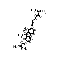 C=C(C)C(=O)OCCC#Cc1ccc2c(c1)C(C)(C)c1cc(OC(=O)C(=C)C)ccc1-2